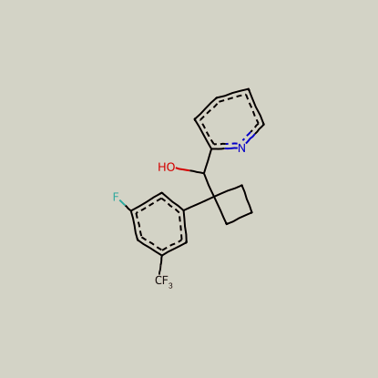 OC(c1ccccn1)C1(c2cc(F)cc(C(F)(F)F)c2)CCC1